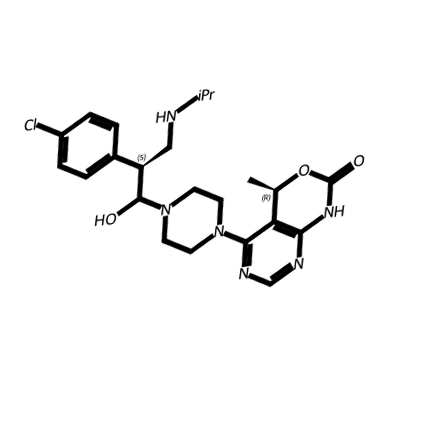 CC(C)NC[C@H](c1ccc(Cl)cc1)C(O)N1CCN(c2ncnc3c2[C@@H](C)OC(=O)N3)CC1